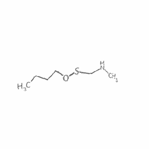 CCCCOSCNC